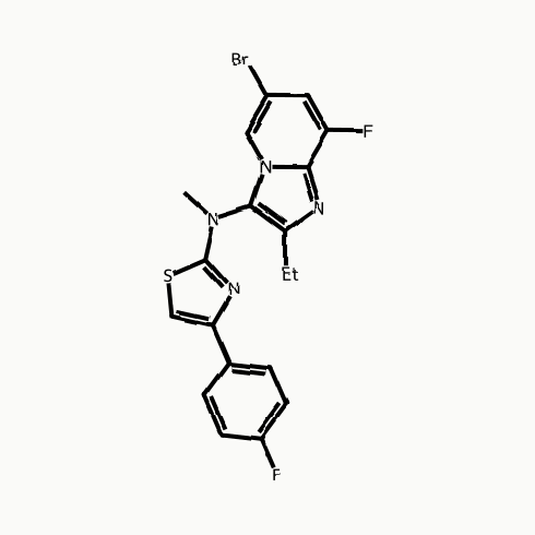 CCc1nc2c(F)cc(Br)cn2c1N(C)c1nc(-c2ccc(F)cc2)cs1